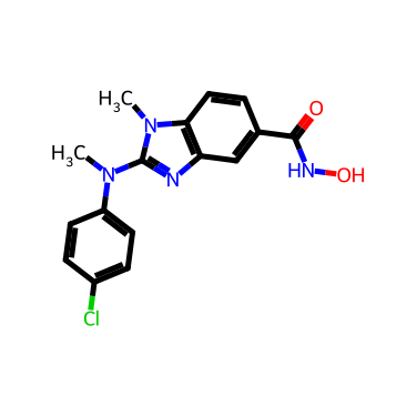 CN(c1ccc(Cl)cc1)c1nc2cc(C(=O)NO)ccc2n1C